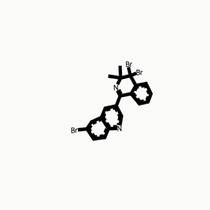 CC1(C)N=C(c2cnc3ccc(Br)cc3c2)c2ccccc2C1(Br)Br